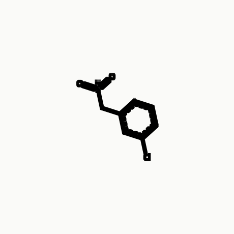 O=[SH](=O)Cc1[c]ccc(Cl)c1